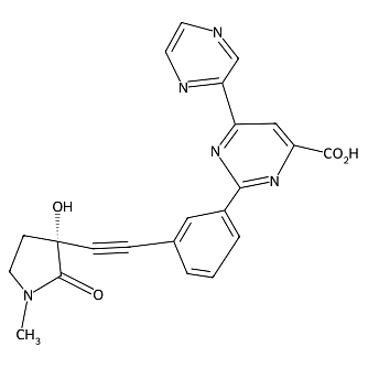 CN1CC[C@@](O)(C#Cc2cccc(-c3nc(C(=O)O)cc(-c4cnccn4)n3)c2)C1=O